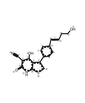 N#Cc1c(O)c2c(-c3ccc(/C=C/CCO)cc3)csc2[nH]c1=O